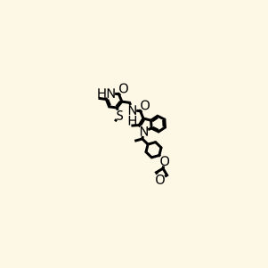 CSc1cc(C)[nH]c(=O)c1CNC(=O)c1c(C)n(C(C)C2CCC(OC3COC3)CC2)c2ccccc12